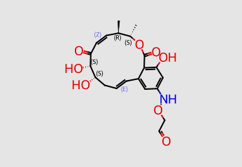 C[C@@H]1/C=C\C(=O)[C@@H](O)[C@@H](O)C/C=C/c2cc(NOCC=O)cc(O)c2C(=O)O[C@H]1C